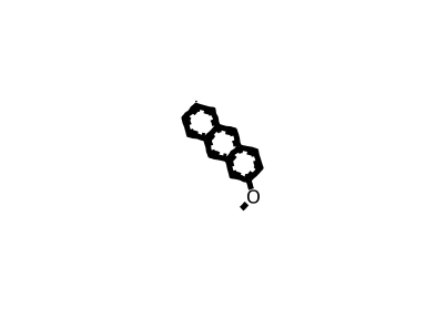 COc1ccc2cc3c[c]ccc3cc2c1